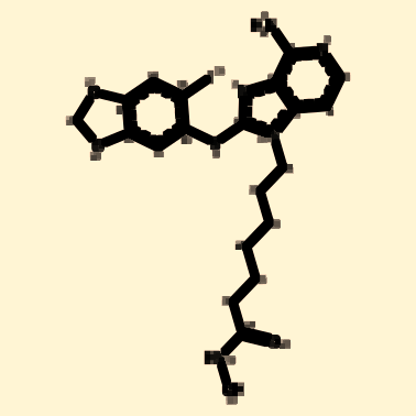 Nc1nccc2c1nc(Sc1cc3c(cc1I)OCO3)n2CCCCCCC(=O)NO